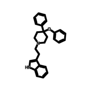 c1ccc(OC2(c3ccccc3)CCN(CCc3c[nH]c4ccccc34)CC2)cc1